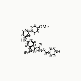 COC1CCN(c2nccc(Nc3cc4c(cn3)c(C(=O)NCCN3CCNCC3)cn4C(C)C)n2)CC1